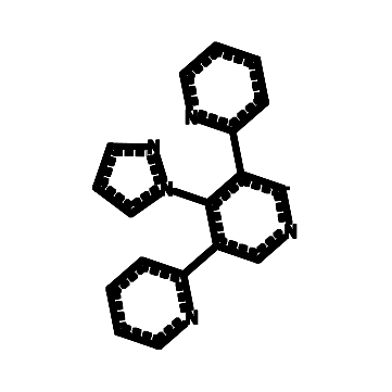 [c]1ncc(-c2ccccn2)c(-n2cccn2)c1-c1ccccn1